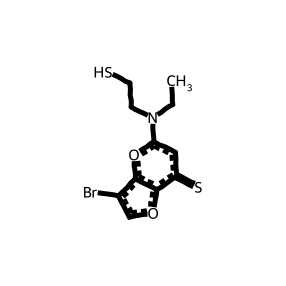 CCN(CCS)c1cc(=S)c2occ(Br)c2o1